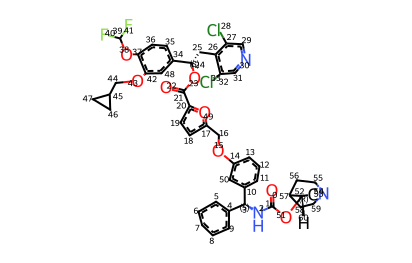 O=C(N[C@@H](c1ccccc1)c1cccc(OCc2ccc(C(=O)O[C@@H](Cc3c(Cl)cncc3Cl)c3ccc(OC(F)F)c(OCC4CC4)c3)o2)c1)O[C@H]1CN2CCC1CC2